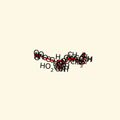 Cc1c(-c2ccc(N3CCc4cccc(C(=O)Nc5nc6ccccc6s5)c4C3)nc2C(=O)O)cnn1CC12CC3(C)CC(C)(C1)CC(OCCN(C)C(=O)OCc1ccc(CCCOCCOCCOCCNC(=O)CCN4C(=O)C=CC4=O)cc1O[C@@H]1O[C@H](C(=O)O)[C@@H](O)[C@H](O)[C@H]1O)(C3)C2